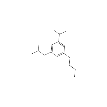 CCCCc1cc(CC(C)C)cc([C](C)C)c1